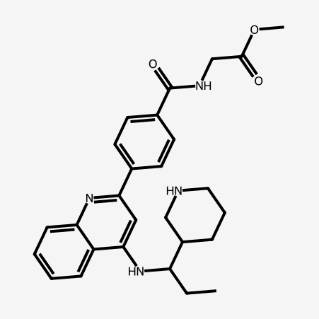 CCC(Nc1cc(-c2ccc(C(=O)NCC(=O)OC)cc2)nc2ccccc12)C1CCCNC1